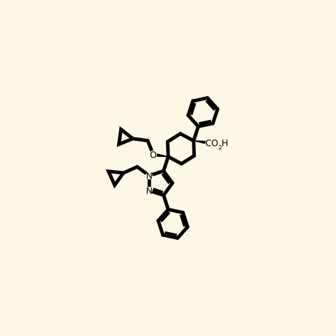 O=C(O)[C@]1(c2ccccc2)CC[C@@](OCC2CC2)(c2cc(-c3ccccc3)nn2CC2CC2)CC1